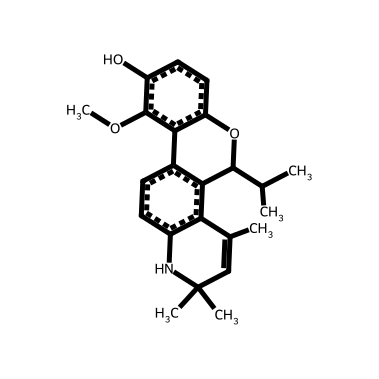 COc1c(O)ccc2c1-c1ccc3c(c1C(C(C)C)O2)C(C)=CC(C)(C)N3